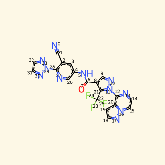 N#Cc1cc(NC(=O)c2cnn(-c3nccn4nccc34)c2C(F)(F)F)cnc1-n1nccn1